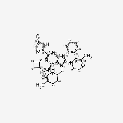 CC1CCC(Cn2c(N3CCO[C@H](C)[C@H]3c3ccccc3)nc3nc(-c4noc(=O)[nH]4)nc(N[C@H](C)C4CCC4)c32)CC1